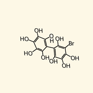 Oc1c(O)c(O)c(-c2c(O)c(O)c(O)c(Br)c2O)c(O)c1O